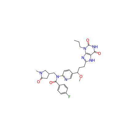 CCCn1c(=O)[nH]c(=O)c2[nH]c(CCC(OC)c3ccc(N(CC4CC(=O)N(C)C4)C(=O)c4ccc(F)cc4)nc3)nc21